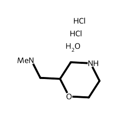 CNCC1CNCCO1.Cl.Cl.O